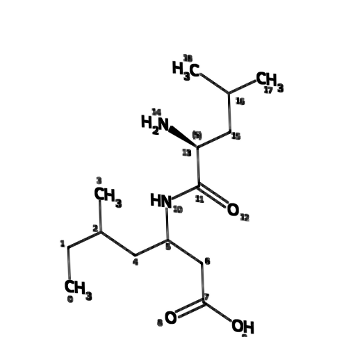 CCC(C)CC(CC(=O)O)NC(=O)[C@@H](N)CC(C)C